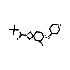 C[C@H]1CC2(CC[C@H]1OC1CCNCC1)CN(C(=O)OC(C)(C)C)C2